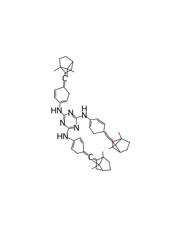 CC12CCC(CC1=C=C1C=CC(Nc3nc(NC4=CCC(=C=C5CC6CCC5(C)C6(C)C)C=C4)nc(NC4=CCC(=C=C5CC6CCC5(C)C6(C)C)C=C4)n3)=CC1)C2(C)C